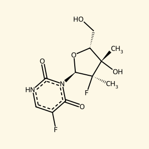 C[C@]1(O)[C@@H](CO)O[C@H](n2c(=O)[nH]cc(F)c2=O)[C@]1(C)F